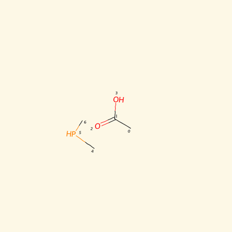 CC(=O)O.CPC